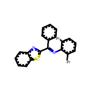 CC(C)c1cccc(C(C)C)c1/N=C(\c1ccccc1)c1nc2ccccc2s1